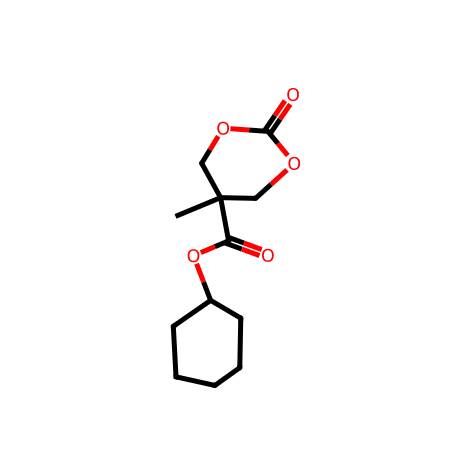 CC1(C(=O)OC2CCCCC2)COC(=O)OC1